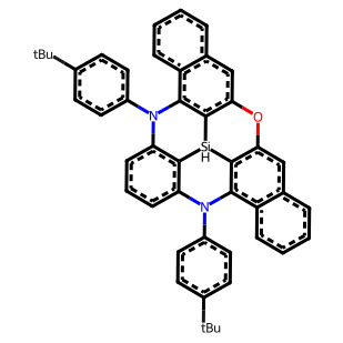 CC(C)(C)c1ccc(N2c3cccc4c3[SiH]3c5c(cc6ccccc6c52)Oc2cc5ccccc5c(c23)N4c2ccc(C(C)(C)C)cc2)cc1